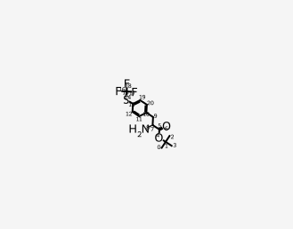 CC(C)(C)OC(=O)[C@@H](N)Cc1ccc(SC(F)(F)F)cc1